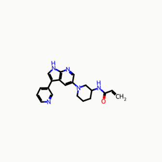 C=CC(=O)NC1CCCN(c2cnc3[nH]cc(-c4cccnc4)c3c2)C1